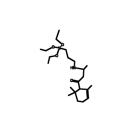 CCO[Si](CCCNC(C)CC(=O)C1C(C)=CCCC1(C)C)(OCC)OCC